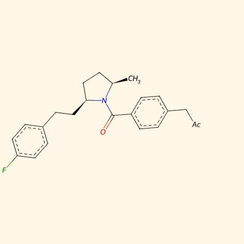 CC(=O)Cc1ccc(C(=O)N2[C@@H](CCc3ccc(F)cc3)CC[C@H]2C)cc1